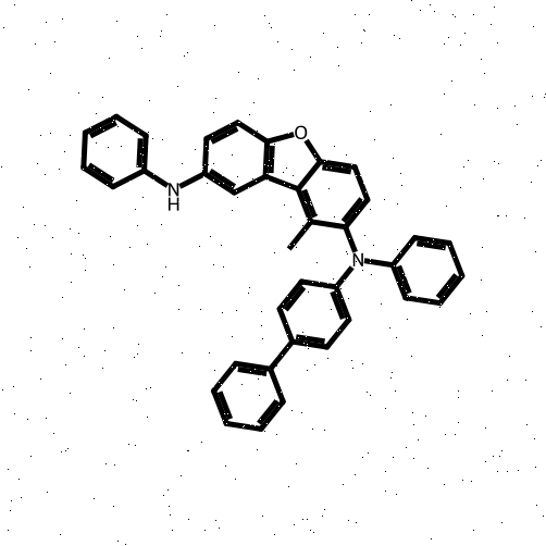 Cc1c(N(c2ccccc2)c2ccc(-c3ccccc3)cc2)ccc2oc3ccc(Nc4ccccc4)cc3c12